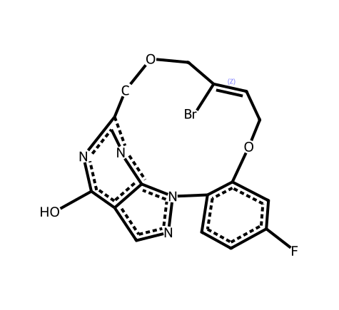 Oc1nc2nc3c1cnn3-c1ccc(F)cc1OC/C=C(\Br)COC2